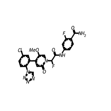 COc1cn(C(F)C(=O)Nc2ccc(C(N)=O)c(F)c2)c(=O)cc1-c1cc(Cl)ccc1-n1cnnn1